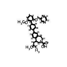 COc1cccc(OCc2cnccn2)c1-c1ccc(-c2ccc3c(c2)CCN(C(=O)O)CC3CC(C)C)cc1